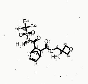 CC1(COC(=O)C2C3C=CC(C3)C2C(=O)N(N)S(=O)(=O)C(F)(F)F)COC1